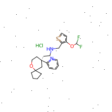 Cl.FC(F)Oc1ccsc1CNCC[C@@]1(c2ccccn2)CCOC2(CCCC2)C1